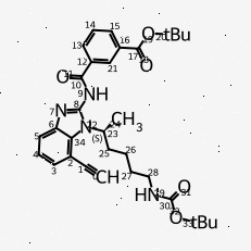 C#Cc1cccc2nc(NC(=O)c3cccc(C(=O)OC(C)(C)C)c3)n([C@@H](C)CCCCNC(=O)OC(C)(C)C)c12